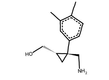 Cc1ccc([C@]2(CN)C[C@@H]2CO)cc1C